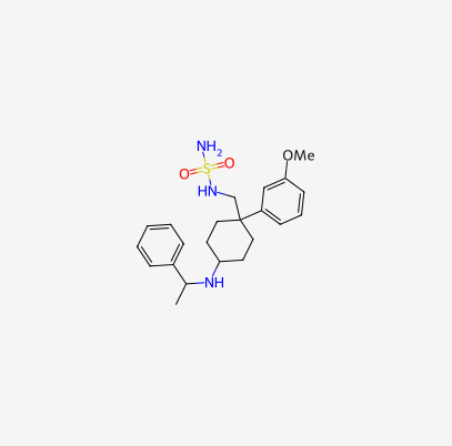 COc1cccc(C2(CNS(N)(=O)=O)CCC(NC(C)c3ccccc3)CC2)c1